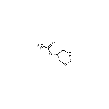 CC(=O)OC1COCOC1